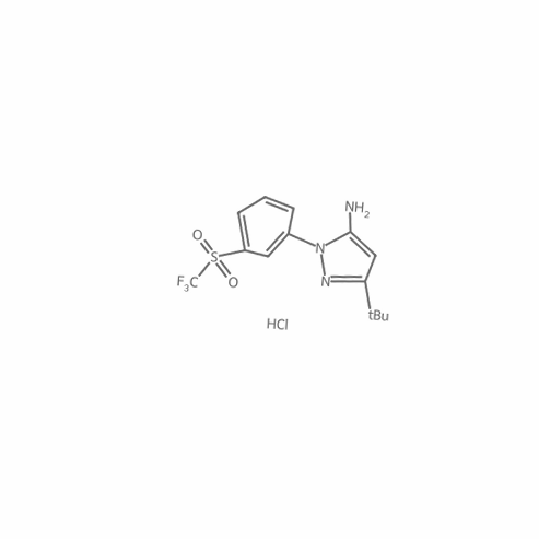 CC(C)(C)c1cc(N)n(-c2cccc(S(=O)(=O)C(F)(F)F)c2)n1.Cl